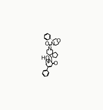 O=C(N1CC[C@@](O)(Cn2ncc(-c3ccccc3)cc2=O)C2(CCCC2)C1)N1CCOC[C@H]1c1ccccc1